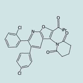 CC(C)C(=O)c1oc2nc(-c3ccccc3Cl)c(-c3ccc(Cl)cc3)cc2c1N1C(=O)CCCC1=O